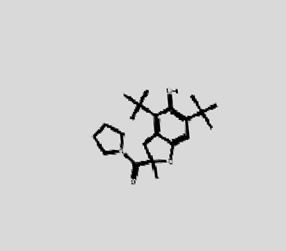 CC1(C(=O)N2CCCC2)Cc2c(cc(C(C)(C)C)c(O)c2C(C)(C)C)O1